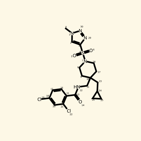 Cn1cc(S(=O)(=O)N2CCC(CNC(=O)c3ccc(Cl)cc3Cl)(CC3CC3)CC2)nn1